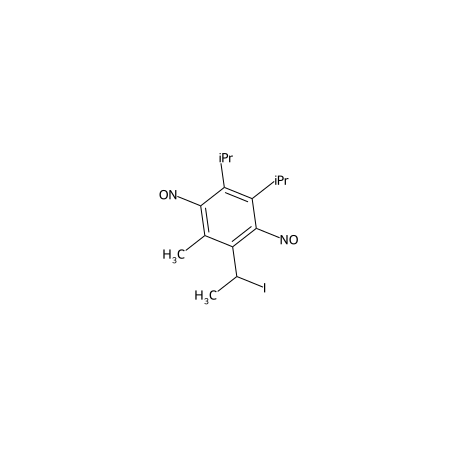 Cc1c(N=O)c(C(C)C)c(C(C)C)c(N=O)c1C(C)I